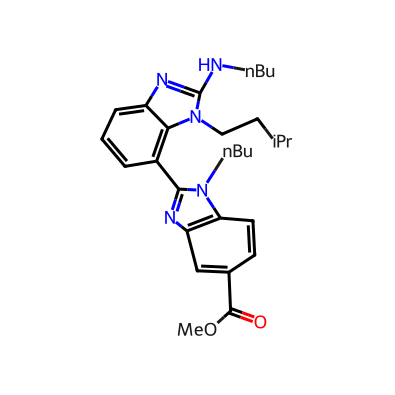 CCCCNc1nc2cccc(-c3nc4cc(C(=O)OC)ccc4n3CCCC)c2n1CCC(C)C